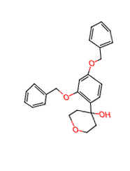 OC1(c2ccc(OCc3ccccc3)cc2OCc2ccccc2)CCOCC1